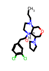 CCCN1CCN(C(=O)Cc2ccc(Cl)c(Cl)c2)[C@@H]2C(N3CCCC3)COCC21